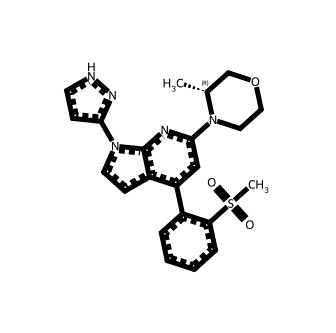 C[C@@H]1COCCN1c1cc(-c2ccccc2S(C)(=O)=O)c2ccn(-c3cc[nH]n3)c2n1